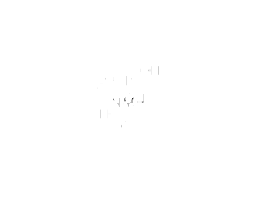 CNC.Cl.Cl.O=[P](O)O